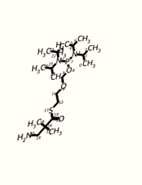 CC(C)N(C(C)C)P(OCOCCSC(=O)C(C)(C)CN)N(C(C)C)C(C)C